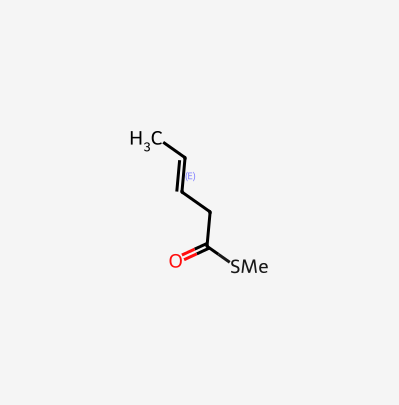 C/C=C/CC(=O)SC